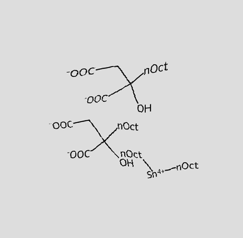 CCCCCCCCC(O)(CC(=O)[O-])C(=O)[O-].CCCCCCCCC(O)(CC(=O)[O-])C(=O)[O-].CCCCCCC[CH2][Sn+4][CH2]CCCCCCC